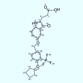 O=C(O)CCc1[nH]c2ccc(OCc3ccc(OC4CCCC4)c(C(F)(F)F)c3)cc2c1Cl